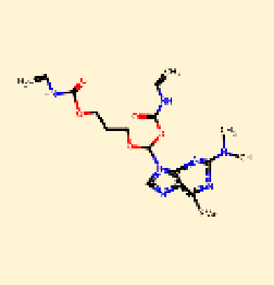 C=CNC(=O)OCCCOC(OC(=O)NC=C)n1cnc2c(SC)nc(N(C)C)nc21